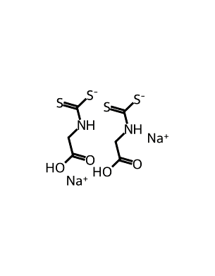 O=C(O)CNC(=S)[S-].O=C(O)CNC(=S)[S-].[Na+].[Na+]